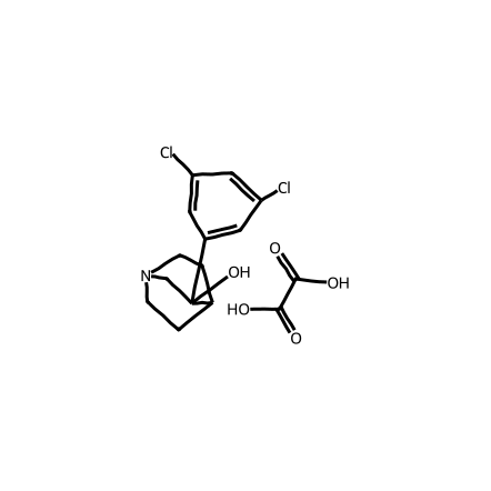 O=C(O)C(=O)O.OC1(c2cc(Cl)cc(Cl)c2)CN2CCC1CC2